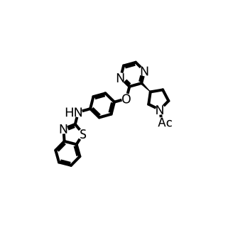 CC(=O)N1CC[C@H](c2nccnc2Oc2ccc(Nc3nc4ccccc4s3)cc2)C1